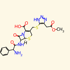 COC(=O)Cc1nn[nH]c1SCC1=C(C(=O)O)N2C(=O)C(NC(=O)C(N)c3ccccc3)[C@@H]2SC1